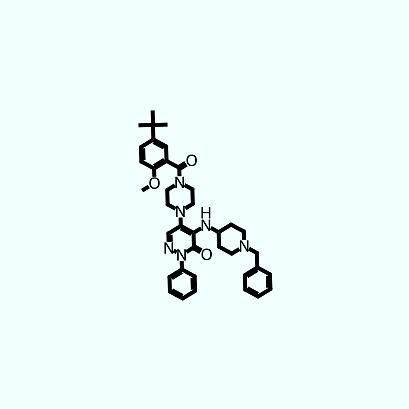 COc1ccc(C(C)(C)C)cc1C(=O)N1CCN(c2cnn(-c3ccccc3)c(=O)c2NC2CCN(Cc3ccccc3)CC2)CC1